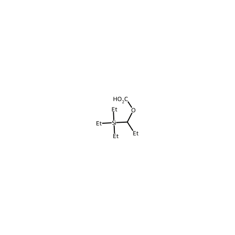 CCC(OC(=O)O)[Si](CC)(CC)CC